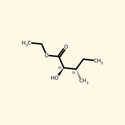 CCOC(=O)[C@H](O)[C@@H](C)CC